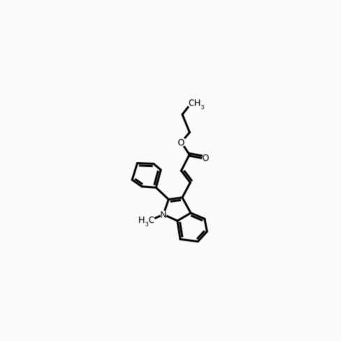 CCCOC(=O)C=Cc1c(-c2ccccc2)n(C)c2ccccc12